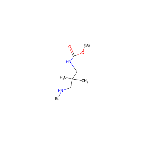 CCNCC(C)(C)CNC(=O)OC(C)(C)C